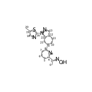 CC(=NO)c1cccc(-c2ccc3cnn(-c4ncc(C)s4)c3c2)n1